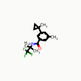 Cc1cc(C(=O)NC(C)(C)C(F)(F)F)cc(C2(C)CC2)c1